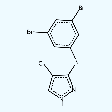 Clc1c[nH]nc1Sc1cc(Br)cc(Br)c1